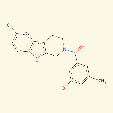 Cc1cc(O)cc(C(=O)N2CCc3c([nH]c4ccc(Cl)cc34)C2)c1